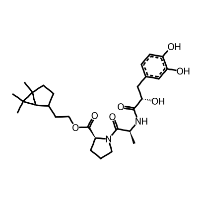 C[C@H](NC(=O)[C@@H](O)Cc1ccc(O)c(O)c1)C(=O)N1CCC[C@H]1C(=O)OCCC1CCC2(C)C1C2(C)C